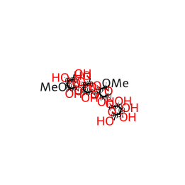 CO[C@@H]1O[C@H](CO[C@@H]2O[C@H](CO)[C@@H](O)[C@H](O)[C@H]2O)[C@@H](O)[C@H](O[C@@H]2O[C@H](CO)[C@@H](O)[C@H](O[C@@H]3O[C@H](CO)[C@@H](O)[C@H](OC)[C@H]3O)[C@H]2O)[C@H]1O